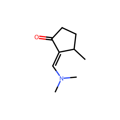 CC1CCC(=O)/C1=C/N(C)C